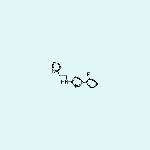 Fc1ccccc1-c1ccc(NCCc2ccccn2)nc1